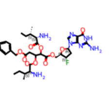 CC[C@H](C)[C@H](N)C(=O)OC(CC(=O)OCc1ccccc1)C(OC(=O)[C@@H](N)[C@@H](C)CC)C(=O)OC[C@H]1O[C@@H](n2cnc3c(=O)[nH]c(N)nc32)C[C@@H]1F